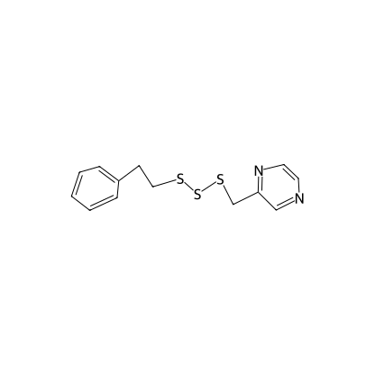 c1ccc(CCSSSCc2cnccn2)cc1